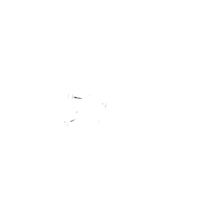 CC1(CCl)S[C@H]2[C@H](N=Cc3ccccc3O)C(=O)N2[C@H]1C(=O)OC(c1ccccc1)c1ccccc1